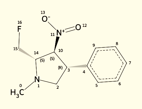 CN1C[C@@H](c2ccccc2)[C@H]([N+](=O)[O-])[C@H]1CF